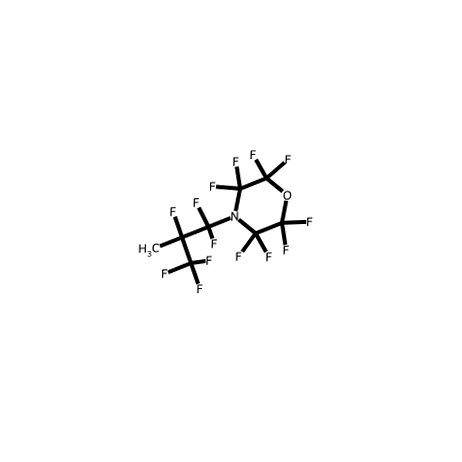 CC(F)(C(F)(F)F)C(F)(F)N1C(F)(F)C(F)(F)OC(F)(F)C1(F)F